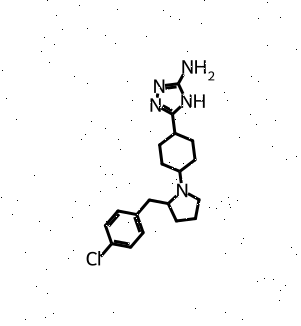 Nc1nnc(C2CCC(N3CCCC3Cc3ccc(Cl)cc3)CC2)[nH]1